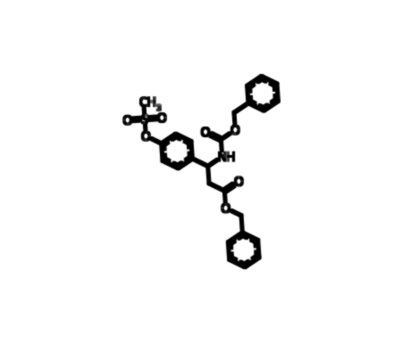 CS(=O)(=O)Oc1ccc(C(CC(=O)OCc2ccccc2)NC(=O)OCc2ccccc2)cc1